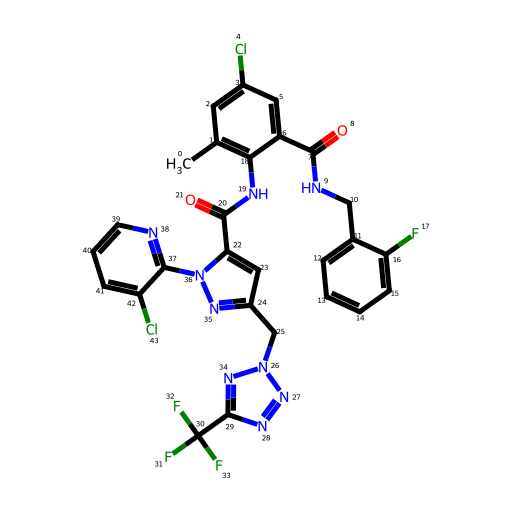 Cc1cc(Cl)cc(C(=O)NCc2ccccc2F)c1NC(=O)c1cc(Cn2nnc(C(F)(F)F)n2)nn1-c1ncccc1Cl